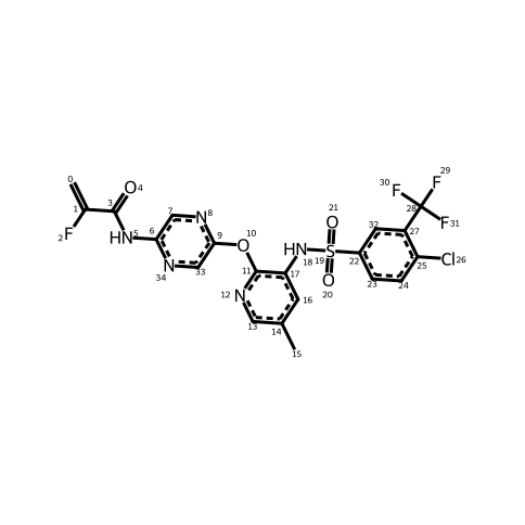 C=C(F)C(=O)Nc1cnc(Oc2ncc(C)cc2NS(=O)(=O)c2ccc(Cl)c(C(F)(F)F)c2)cn1